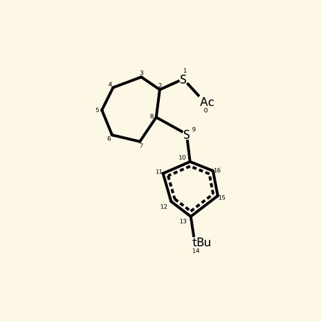 CC(=O)SC1CCCCCC1Sc1ccc(C(C)(C)C)cc1